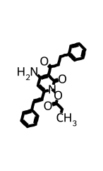 CCC(=O)On1c(C=Cc2ccccc2)cc(N)c(C(=O)CCc2ccccc2)c1=O